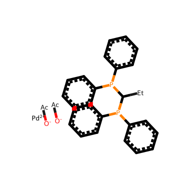 CC(=O)[O-].CC(=O)[O-].CCC(P(c1ccccc1)c1ccccc1)P(c1ccccc1)c1ccccc1.[Pd+2]